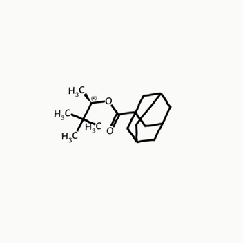 C[C@@H](OC(=O)C12CC3CC(CC(C3)C1)C2)C(C)(C)C